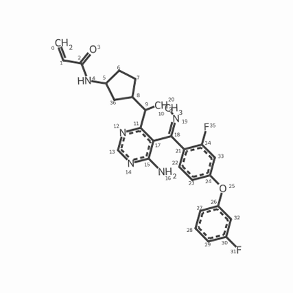 C=CC(=O)NC1CCC(C(C)c2ncnc(N)c2/C(=N\C)c2ccc(Oc3cccc(F)c3)cc2F)C1